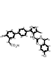 Cc1noc(-c2ccc(-c3ccc(F)c(CC(=O)O)c3)cc2)c1NC(=O)OC(C)c1ccc(Cl)cc1